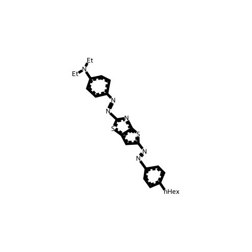 CCCCCCc1ccc(N=Nc2cc3sc(N=Nc4ccc(N(CC)CC)cc4)nc3s2)cc1